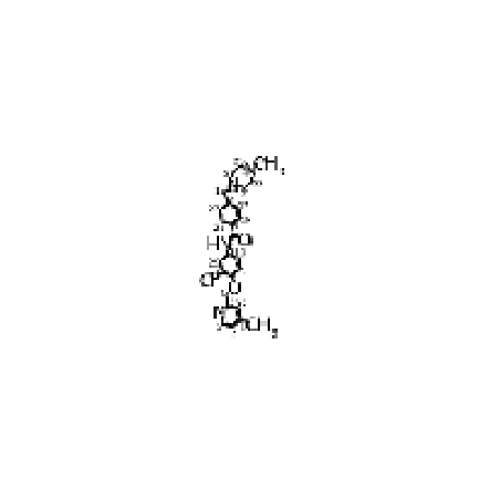 Cc1ccnc(COc2ccc(NC(=O)c3ccc(CN4CCN(C)CC4)cc3)cc2Cl)c1